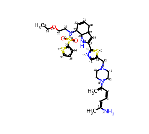 C=C(/C=C\C=C(\C)N)N1CCN(Cc2cnc(C3=CC4CC=CC(N(CCOCC)S(=O)(=O)c5cccs5)C4N3)s2)CC1